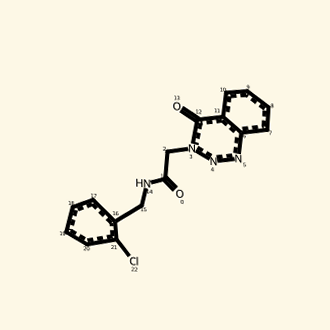 O=C(Cn1nnc2ccccc2c1=O)NCc1ccccc1Cl